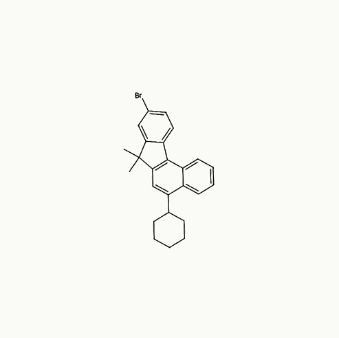 CC1(C)c2cc(Br)ccc2-c2c1cc(C1CCCCC1)c1ccccc21